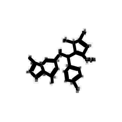 CCOC(=O)c1nc(Br)n(C(C)C)c1C(Nc1cc(C)c2nnc(C)n2c1)c1ccc(Cl)cc1